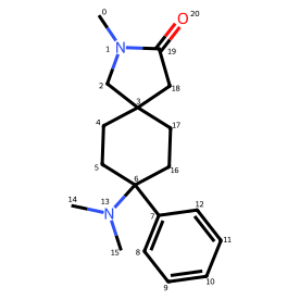 CN1CC2(CCC(c3ccccc3)(N(C)C)CC2)CC1=O